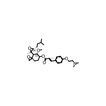 CO[C@@H]1C(OC(=O)/C=C/c2ccc(OCCN(C)C)cc2)CC[C@]2(CO2)C1[C@@]1(C)O[C@@H]1CCC(C)C